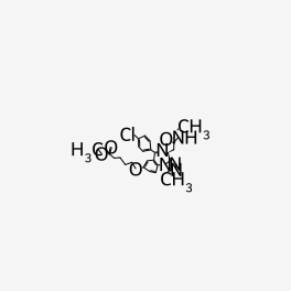 CCNC(=O)C[C@@H]1N=C(c2ccc(Cl)cc2)c2cc(OCCCCC(=O)OC)ccc2-n2c(C)nnc21